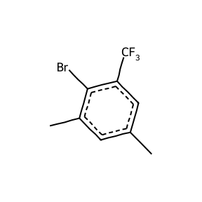 Cc1cc(C)c(Br)c(C(F)(F)F)c1